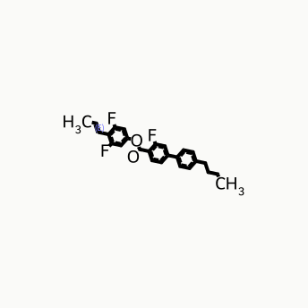 C/C=C/c1c(F)cc(OC(=O)c2ccc(-c3ccc(CCCC)cc3)cc2F)cc1F